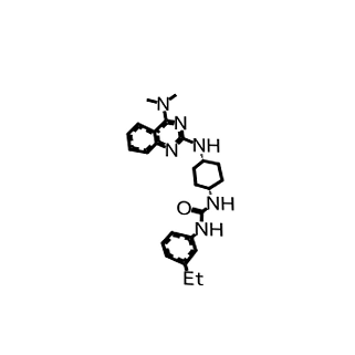 CCc1cccc(NC(=O)N[C@H]2CC[C@@H](Nc3nc(N(C)C)c4ccccc4n3)CC2)c1